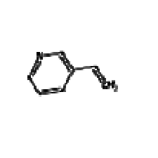 C=Cc1[c]ccnc1